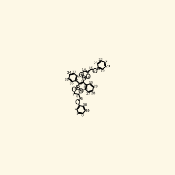 c1ccc(OCC2COB(C(=C(B3OCC(COc4ccccc4)O3)c3ccccc3)c3ccccc3)O2)cc1